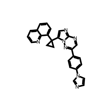 c1cnc2c(C3(c4cnc5ncc(-c6ccc(-n7ccnc7)cc6)nn45)CC3)cccc2c1